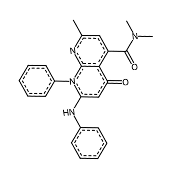 Cc1cc(C(=O)N(C)C)c2c(=O)cc(Nc3ccccc3)n(-c3ccccc3)c2n1